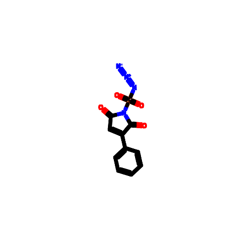 [N-]=[N+]=NS(=O)(=O)N1C(=O)C=C(c2ccccc2)C1=O